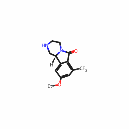 CCOc1cc2c(c(C(F)(F)F)c1)C(=O)N1CCNC[C@@H]21